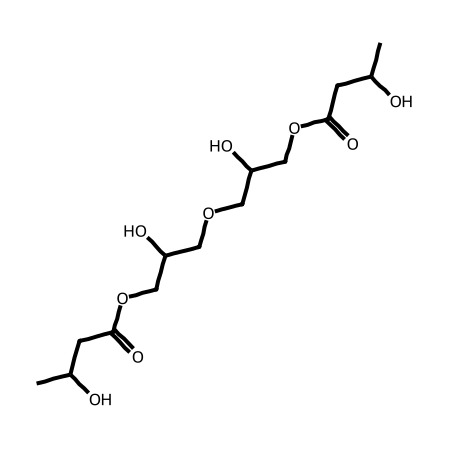 CC(O)CC(=O)OCC(O)COCC(O)COC(=O)CC(C)O